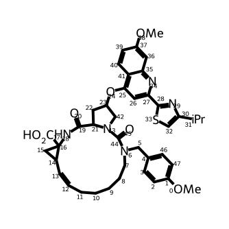 COc1ccc(CN2CCCCCC=CC3CC3(C(=O)O)NC(=O)C3CC(Oc4cc(-c5nc(C(C)C)cs5)nc5cc(OC)ccc45)CN3C2=O)cc1